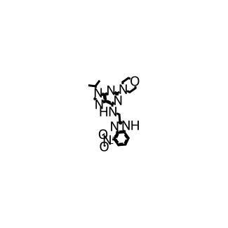 CC(C)n1cnc2c(NCc3nc4c([N+](=O)[O-])cccc4[nH]3)nc(N3CCOCC3)nc21